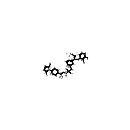 Cc1cccc(CC(C(N)=O)c2cccc(CC(C)(C)NC[C@H](O)c3ccc(-n4c(C)ccc4C)nc3)c2)c1C